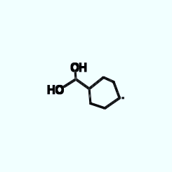 OC(O)C1CC[CH]CC1